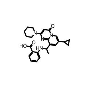 CC(Nc1ccccc1C(=O)O)c1cc(C2CC2)cn2c(=O)cc(N3CCCCC3)nc12